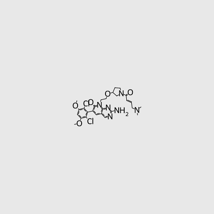 COc1cc(OC)c(Cl)c(-c2cc3cnc(N)nc3n(CCOC3CCN(C(=O)/C=C/CN(C)C)C3)c2=O)c1Cl